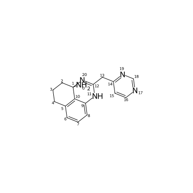 NC12CCCc3cccc(c31)NC(Cc1ccncn1)=N2